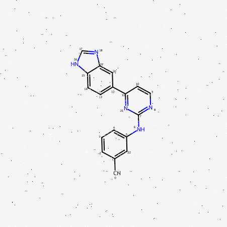 N#Cc1cccc(Nc2nccc(-c3ccc4[nH]cnc4c3)n2)c1